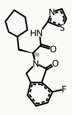 O=C(Nc1nccs1)[C@H](CC1CCCCC1)N1Cc2cccc(F)c2C1=O